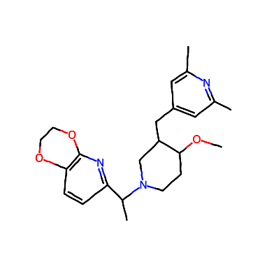 COC1CCN(C(C)c2ccc3c(n2)OCCO3)CC1Cc1cc(C)nc(C)c1